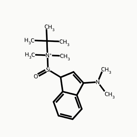 CN(C)C1=CC([Si](=O)[N+](C)(C)C(C)(C)C)c2ccccc21